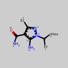 CCCCCCC(CC)n1nc(CC)c(C(N)=O)c1N